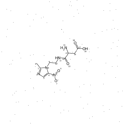 Cc1ncc([N+](=O)[O-])n1CCNC(=O)C(N)CC(=O)O